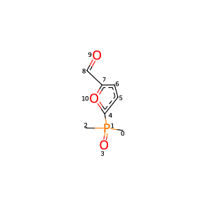 CP(C)(=O)c1ccc(C=O)o1